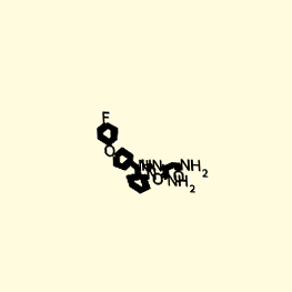 NC(=O)CC(Nc1nc(-c2ccc(Oc3ccc(F)cc3)cc2)c2ccccc2n1)C(N)=O